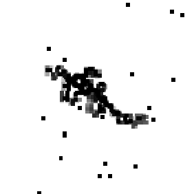 CCOC(=O)CSC[C@H](N)CNC(=O)c1cc(C)c2cc(NCC(F)(F)F)cc(C(C)(C)C)c2n1